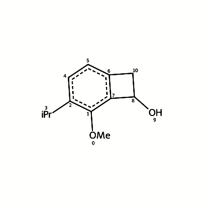 COc1c(C(C)C)ccc2c1C(O)C2